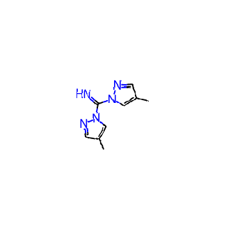 Cc1cnn(C(=N)n2cc(C)cn2)c1